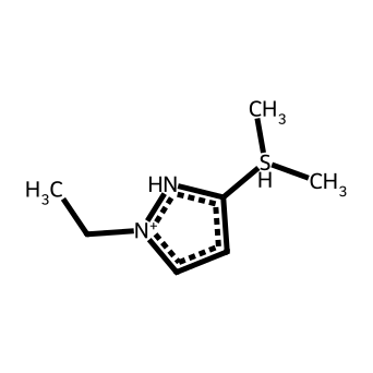 CC[n+]1ccc([SH](C)C)[nH]1